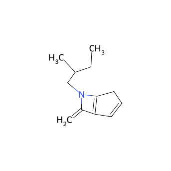 C=C1C2=C(CC=C2)N1CC(C)CC